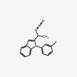 CC(N=[N+]=[N-])c1cc2ccccc2n1-c1cccc(F)c1